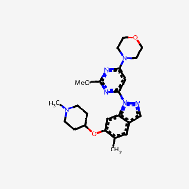 COc1nc(N2CCOCC2)cc(-n2ncc3cc(C)c(OC4CCN(C)CC4)cc32)n1